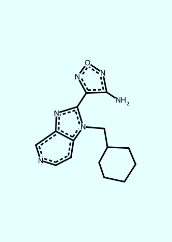 Nc1nonc1-c1nc2cnccc2n1CC1CCCCC1